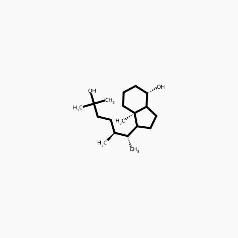 C[C@@H](CCC(C)(C)O)[C@@H](C)C1CCC2[C@@H](O)CCC[C@@]21C